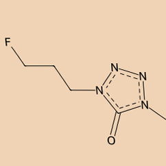 Cn1nnn(CCCF)c1=O